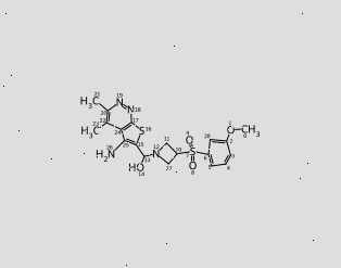 COc1cccc(S(=O)(=O)C2CN(C(O)c3sc4nnc(C)c(C)c4c3N)C2)c1